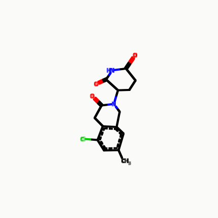 Cc1cc(Cl)c2c(c1)CN(C1CCC(=O)NC1=O)C(=O)C2